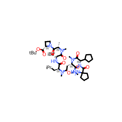 CC[C@H](C)[C@H](NC(=O)[C@H](CC(C)C)N(C)C(=O)C[C@@H](C(=O)N(C)C)N(C)C(=O)[C@H](C1CCCC1)N(C)C(=O)C1(N)CCCC1)C(=O)N(C)[C@@H](C)C(=O)N1CC[C@H]1C(=O)OC(C)(C)C